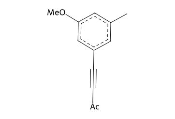 COc1cc(C)cc(C#CC(C)=O)c1